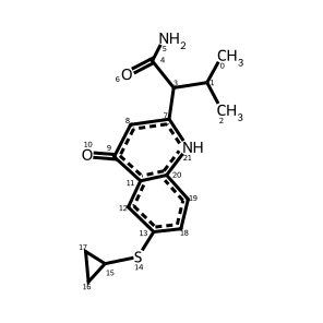 CC(C)C(C(N)=O)c1cc(=O)c2cc(SC3CC3)ccc2[nH]1